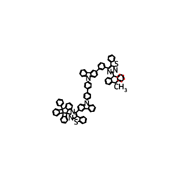 CC12c3ccccc3C(c3nc(-c4cccc(-c5ccc6c(c5)c5ccccc5n6-c5ccc(-c6ccc(-n7c8ccccc8c8cc(-c9nc(C%10%11c%12ccccc%12C%12(c%13ccccc%13)c%13ccccc%13C%12%10c%10ccccc%10%11)nc%10sc%11ccccc%11c9%10)ccc87)cc6)cc5)c4)c4c(n3)sc3ccccc34)(c3ccccc31)c1ccccc12